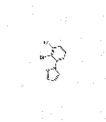 Brc1cccc(-n2cccn2)c1Br